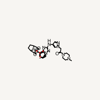 CN1CCN(C(=O)Cn2cc(Nc3nc4c(N5CC6CCC(C5)N6S(=O)(=O)c5cccs5)cccn4n3)cn2)CC1